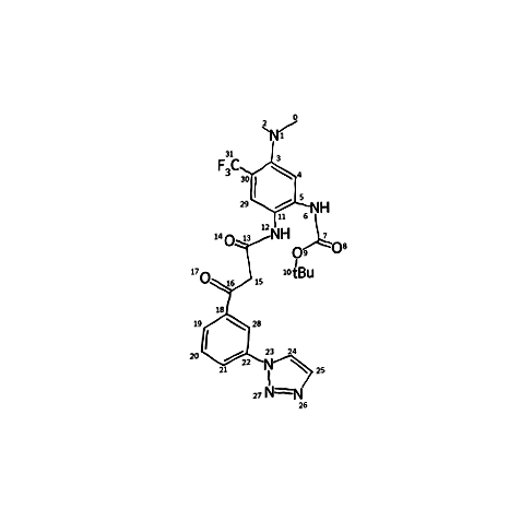 CN(C)c1cc(NC(=O)OC(C)(C)C)c(NC(=O)CC(=O)c2cccc(-n3ccnn3)c2)cc1C(F)(F)F